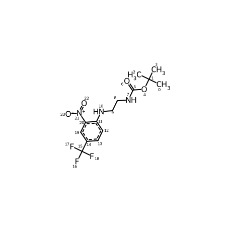 CC(C)(C)OC(=O)NCCNc1ccc(C(F)(F)F)cc1[N+](=O)[O-]